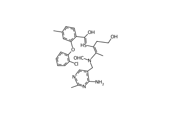 C/C(=C(CCO)/[SH]=C(\O)c1ccc(C)cc1Oc1ccccc1Cl)N(C=O)Cc1cnc(C)nc1N